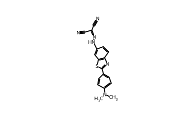 CN(C)c1ccc(-c2nc3ccc(NN=C(C#N)C#N)cc3s2)cc1